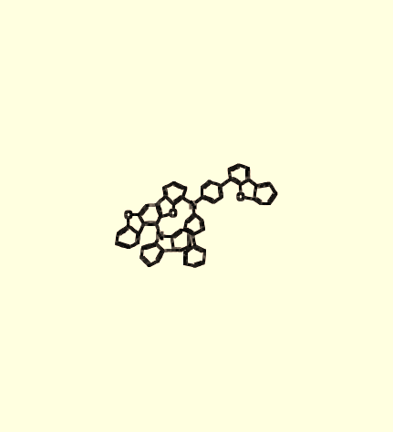 c1ccc(-c2ccc(N(c3ccc(-c4cccc5c4oc4ccccc45)cc3)c3cccc4c3oc3c(-n5c6ccccc6c6ccccc65)c5c(cc34)oc3ccccc35)cc2)cc1